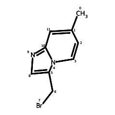 Cc1ccn2c(CBr)cnc2c1